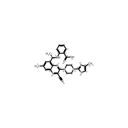 Cc1cc([C@@H](C)Nc2ccccc2C(=O)O)c2nc(N3CCN(c4nc(C)cs4)CC3)c(C#N)nc2c1